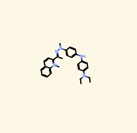 CCN(CC)c1ccc(Nc2ccc(N(C)/N=C(\C)c3ccc4ccccc4[n+]3C)cc2)cc1